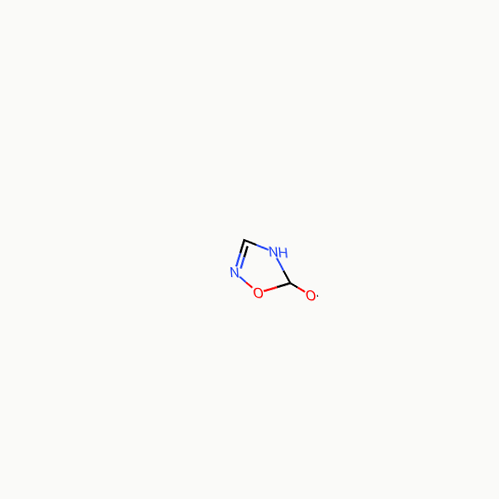 [O]C1NC=NO1